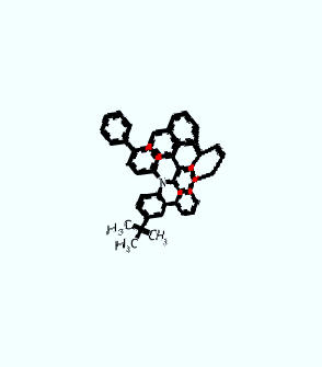 CC(C)(C)c1ccc(N(c2ccc(-c3ccccc3)cc2)c2ccccc2-c2cccc3cccc(C4CCCCC4)c23)c(-c2ccccc2)c1